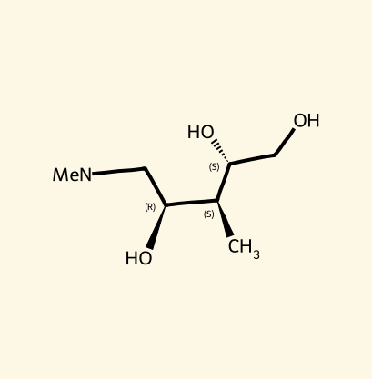 CNC[C@H](O)[C@H](C)[C@H](O)CO